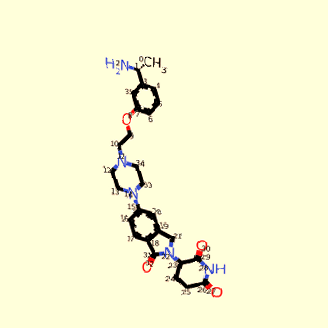 C[C@@H](N)c1cccc(OCCN2CCN(c3ccc4c(c3)CN(C3CCC(=O)NC3=O)C4=O)CC2)c1